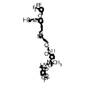 Cc1ccc(NC(=O)C2(c3ccc4c(c3)OC(F)(F)O4)CC2)nc1-c1cccc(C(=O)NCCOCC#Cc2cnn(CCC#Cc3ccc(OCc4ccc(F)c(C(F)(F)F)c4)c(CNCCO)c3)c2)c1